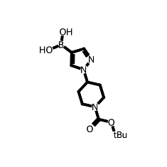 CC(C)(C)OC(=O)N1CCC(n2cc(B(O)O)cn2)CC1